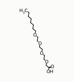 CCCCCCCCOCCOCCOCCOCC(=O)O